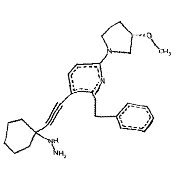 CO[C@H]1CCN(c2ccc(C#CC3(NN)CCCCC3)c(Cc3ccccc3)n2)C1